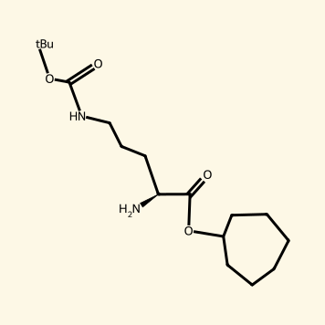 CC(C)(C)OC(=O)NCCC[C@H](N)C(=O)OC1CCCCCC1